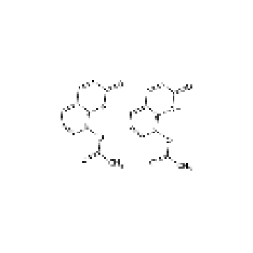 CC(=O)Oc1cccc2ccc(=O)[nH]c12.CC(=O)Oc1cccc2ccc(=O)[nH]c12